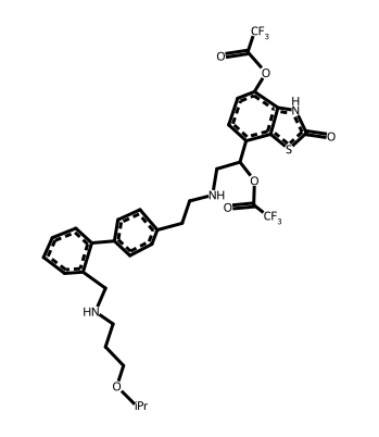 CC(C)OCCCNCc1ccccc1-c1ccc(CCNCC(OC(=O)C(F)(F)F)c2ccc(OC(=O)C(F)(F)F)c3[nH]c(=O)sc23)cc1